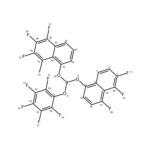 Fc1ccc2c(OB(Oc3c(F)c(F)c(F)c(F)c3F)Oc3cccc4c(F)c(F)c(F)c(F)c34)ccc(F)c2c1F